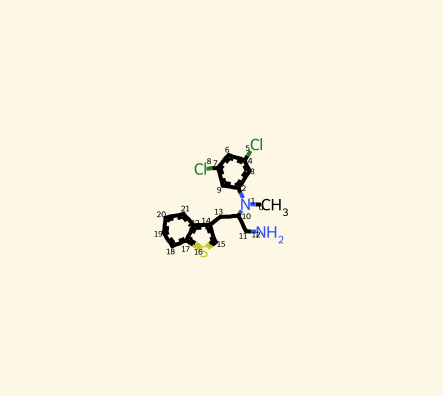 CN(c1cc(Cl)cc(Cl)c1)C(CN)Cc1csc2ccccc12